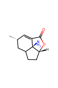 C[C@@H]1C=C2C(=O)O[C@@H]3CCC(C1)[C@]23N